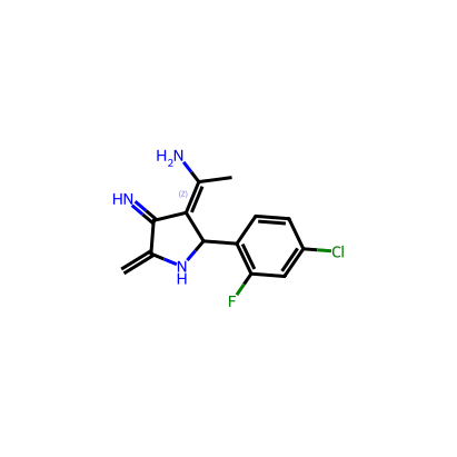 C=C1NC(c2ccc(Cl)cc2F)/C(=C(\C)N)C1=N